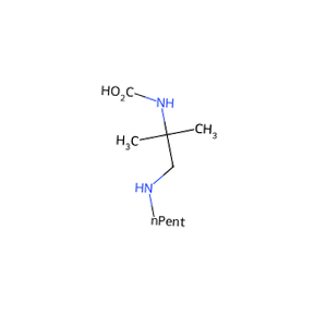 CCCCCNCC(C)(C)NC(=O)O